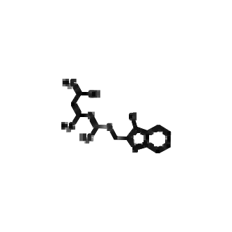 C=C(O)/C=C(C)\N=C(/C)SCc1sc2ccccc2c1Cl